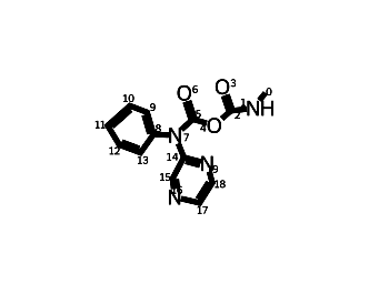 CNC(=O)OC(=O)N(c1ccccc1)c1cnccn1